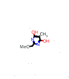 COCc1nc(O)c(C)c(O)n1